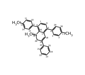 Cc1ccc(-c2ccc(-c3ccc(C)cc3)c3c2C=C(c2ccccc2)CN3C)cc1